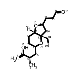 C=C(O)[C@H](C)C[C@H]1CC[C@@H]2OC(CCC=O)C[C@]2(CI)O1